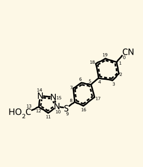 N#Cc1ccc(-c2ccc(Sn3cc(C(=O)O)nn3)cc2)cc1